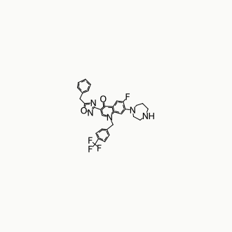 O=c1c(-c2noc(Cc3ccccc3)n2)cn(Cc2ccc(C(F)(F)F)cc2)c2cc(N3CCCNCC3)c(F)cc12